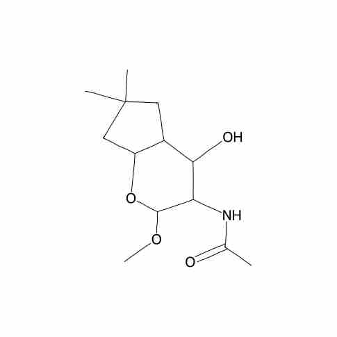 COC1OC2CC(C)(C)CC2C(O)C1NC(C)=O